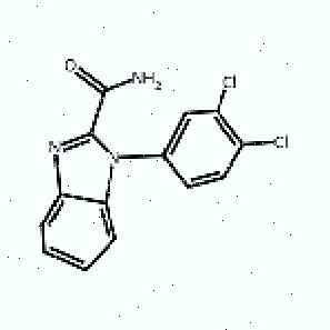 NC(=O)c1nc2ccccc2n1-c1ccc(Cl)c(Cl)c1